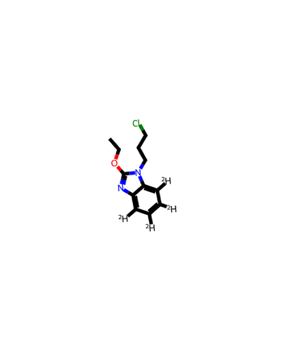 [2H]c1c([2H])c([2H])c2c(nc(OCC)n2CCCCl)c1[2H]